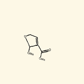 COC(=O)C1=CCOC1OC